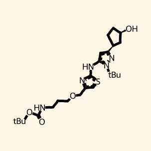 CC(C)(C)OC(=O)NCCCOCc1csc(Nc2cc([C@H]3CC[C@@H](O)C3)nn2C(C)(C)C)n1